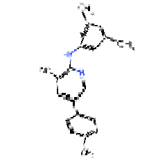 Cc1ccc(-c2cnc(Nc3cc(C)cc(C)c3)c(C#N)c2)cc1